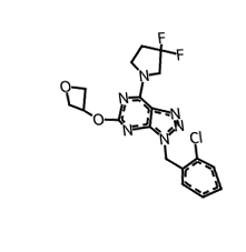 FC1(F)CCN(c2nc(OC3COC3)nc3c2nnn3Cc2ccccc2Cl)C1